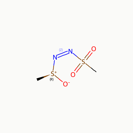 C[S@+]([O-])/N=N\S(C)(=O)=O